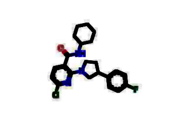 O=C(NC1CCCCC1)c1ccc(Cl)nc1N1CCC(c2ccc(F)cc2)C1